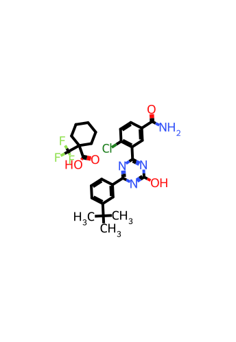 CC(C)(C)c1cccc(-c2nc(O)nc(-c3cc(C(N)=O)ccc3Cl)n2)c1.O=C(O)C1(C(F)(F)F)CCCCC1